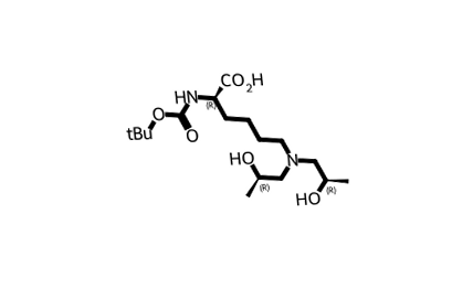 C[C@@H](O)CN(CCCC[C@@H](NC(=O)OC(C)(C)C)C(=O)O)C[C@@H](C)O